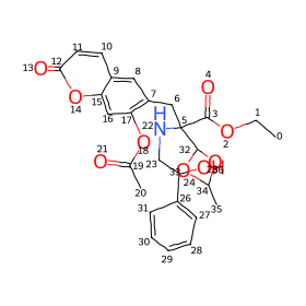 CCOC(=O)C(Cc1cc2ccc(=O)oc2cc1OC(C)=O)(NCC(O)c1ccccc1)C1OC(C)O1